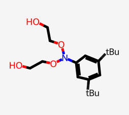 CC(C)(C)c1cc(N(OCCO)OCCO)cc(C(C)(C)C)c1